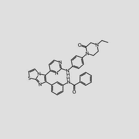 CCN1CCN(c2ccc(Nc3nccc(-c4c(-c5cccc(NC(=O)c6ccccc6)c5)nc5sccn45)n3)cc2)C(=O)C1